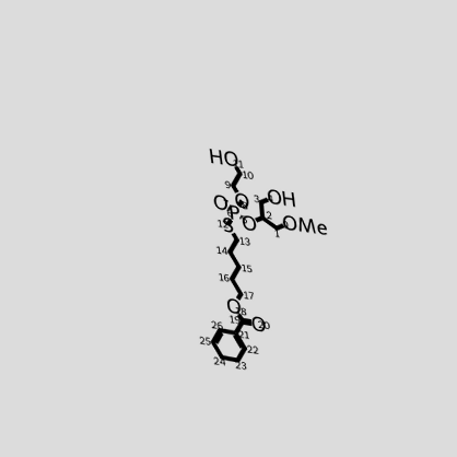 COCC(CO)OP(=O)(OCCO)SCCCCCOC(=O)C1=CCCC=C1